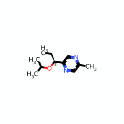 CC[C@H](OC(C)C)c1cnc(C)cn1